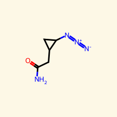 [N-]=[N+]=NC1CC1CC(N)=O